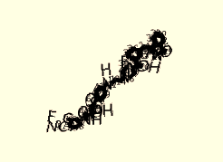 CC(O)(CS(=O)(=O)c1ccc(NCCCN2CCN(C(=O)c3cc(Cc4n[nH]c(=O)c5ccccc45)ccc3F)CC2)cc1)C(=O)Nc1ccc(C#N)c(C(F)(F)F)c1